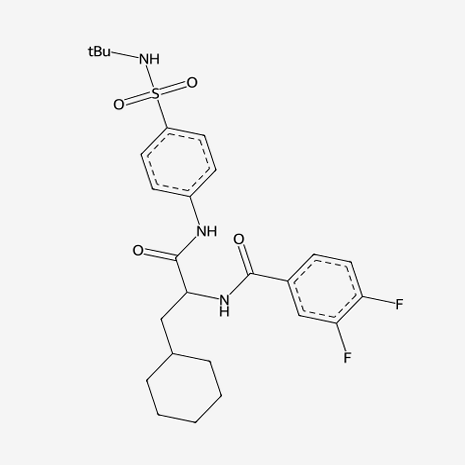 CC(C)(C)NS(=O)(=O)c1ccc(NC(=O)C(CC2CCCCC2)NC(=O)c2ccc(F)c(F)c2)cc1